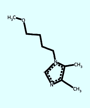 COCCCCn1[c]nc(C)c1C